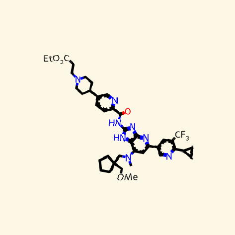 CCOC(=O)CCN1CCC(c2ccc(C(=O)Nc3nc4nc(-c5cnc(C6CC6)c(C(F)(F)F)c5)cc(N(C)CC5(COC)CCCC5)c4[nH]3)nc2)CC1